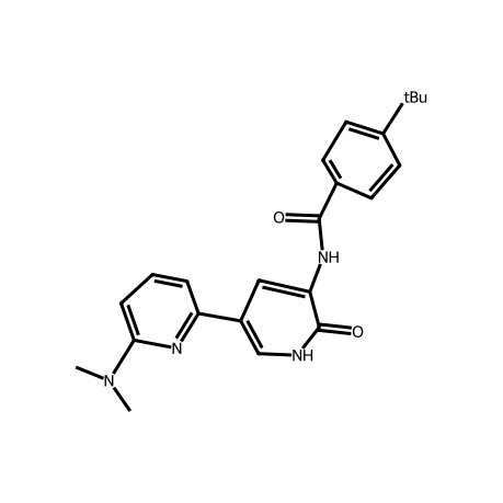 CN(C)c1cccc(-c2c[nH]c(=O)c(NC(=O)c3ccc(C(C)(C)C)cc3)c2)n1